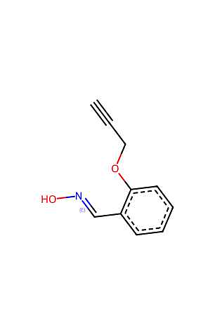 C#CCOc1ccccc1/C=N/O